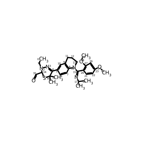 CCN1N=C(c2ccc3c(c2)CCCN3C(=NC(C)C)c2ccc(OC)cc2OC)C(C)(C)SC1C=O